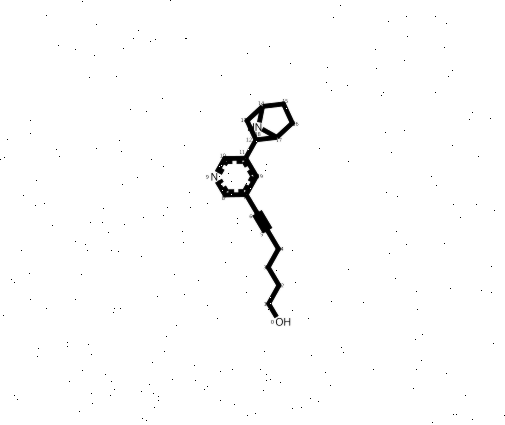 OCCCCC#Cc1cncc(C2CC3CCC2N3)c1